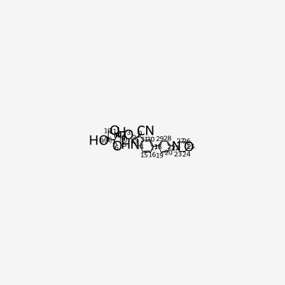 N#Cc1c(O[C@@H]2COC3[C@H](O)CO[C@@H]32)[nH]c2ccc(-c3ccc(N4CCOCC4)cc3)cc12